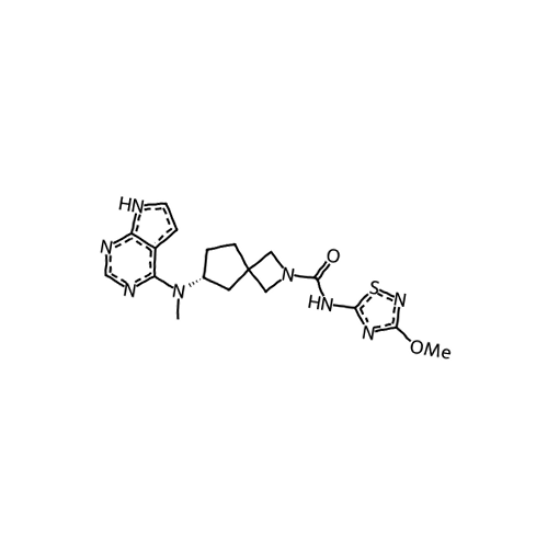 COc1nsc(NC(=O)N2CC3(CC[C@@H](N(C)c4ncnc5[nH]ccc45)C3)C2)n1